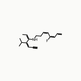 C#C/C=C(\C(=C/C)NCC/C=C\C(F)=C/C=C)C(C)C